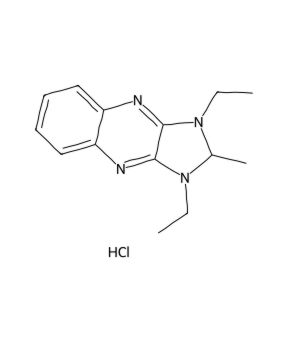 CCN1c2nc3ccccc3nc2N(CC)C1C.Cl